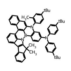 Cc1cc(C(C)(C)C)ccc1N1c2cc(N(c3ccc(C(C)(C)C)cc3)c3ccc(C(C)(C)C)cc3)ccc2B2c3c1cc1ccccc1c3-c1cccc3c4c(n2c13)C(C)(C)c1ccccc1-4